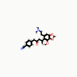 COc1c2c(cc(CCN(C)C)c1C(C)CC(=O)Cc1ccc(C#N)cc1)OCO2